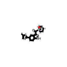 Cc1cnc(-c2ccc3[nH]nc(C(=O)N4CCN5CCC4CC5)c3c2)s1